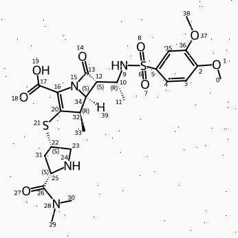 COc1ccc(S(=O)(=O)N[C@H](C)[C@H]2C(=O)N3C(C(=O)O)=C(S[C@@H]4CN[C@H](C(=O)N(C)C)C4)[C@H](C)[C@H]23)cc1OC